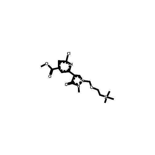 COC(=O)c1cc(Cl)nc(-c2cn(COCC[Si](C)(C)C)n(C)c2=O)c1